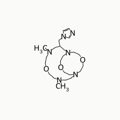 CN1CCOCCN(C)CC(Cn2ccnc2)N2CCOCCN(CCOCC2)CC1